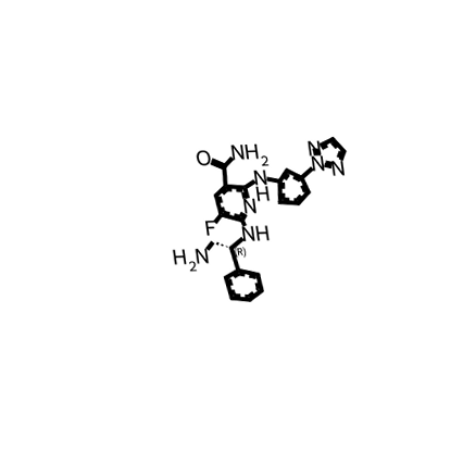 NC[C@H](Nc1nc(Nc2cccc(-n3nccn3)c2)c(C(N)=O)cc1F)c1ccccc1